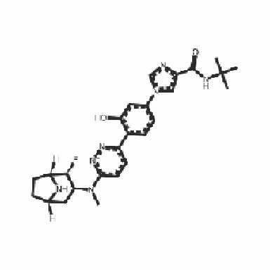 CN(c1ccc(-c2ccc(-n3cnc(C(=O)NC(C)(C)C)c3)cc2O)nn1)[C@H]1C[C@@H]2CC[C@@H](N2)[C@H]1F